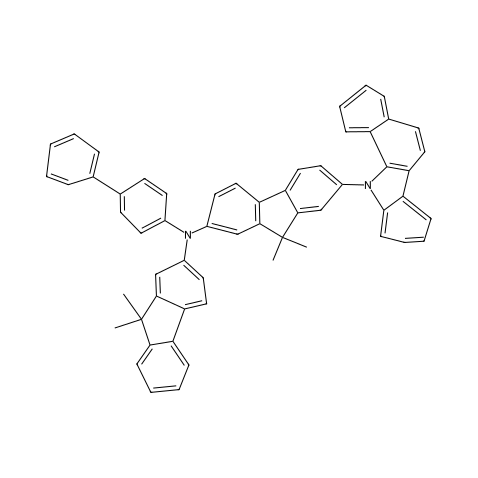 CC1(C)c2ccccc2-c2ccc(N(c3ccc(-c4ccccc4)cc3)c3ccc4c(c3)C(C)(C)c3cc(-n5c6ccccc6c6ccc7ccccc7c65)ccc3-4)cc21